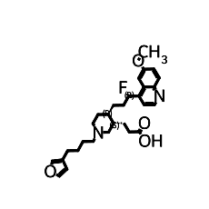 COc1ccc2nccc([C@H](F)CC[C@@H]3CCN(CCCCc4ccoc4)C[C@H]3CCC(=O)O)c2c1